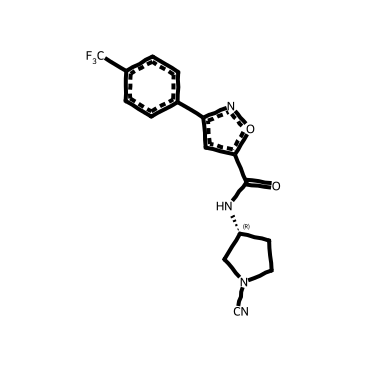 N#CN1CC[C@@H](NC(=O)c2cc(-c3ccc(C(F)(F)F)cc3)no2)C1